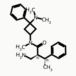 C[C@@H](c1ccccc1)[C@@H](CN)C(=O)N(C)C1CC(c2ccccc2)(N(C)C)C1